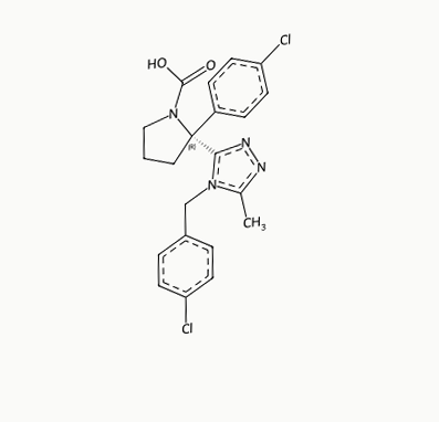 Cc1nnc([C@]2(c3ccc(Cl)cc3)CCCN2C(=O)O)n1Cc1ccc(Cl)cc1